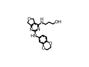 OCCCNc1nc(Nc2ccc3c(c2)OCCO3)nc2c1COC2